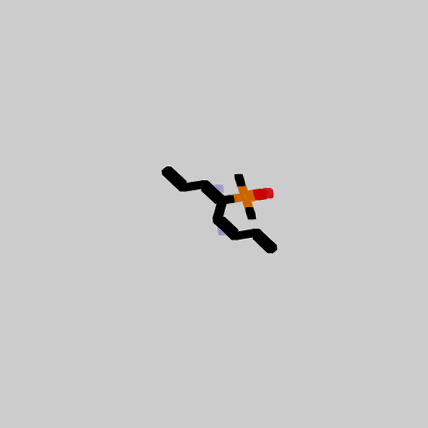 C=C/C=C\C(=C/C=C)P(C)(C)=O